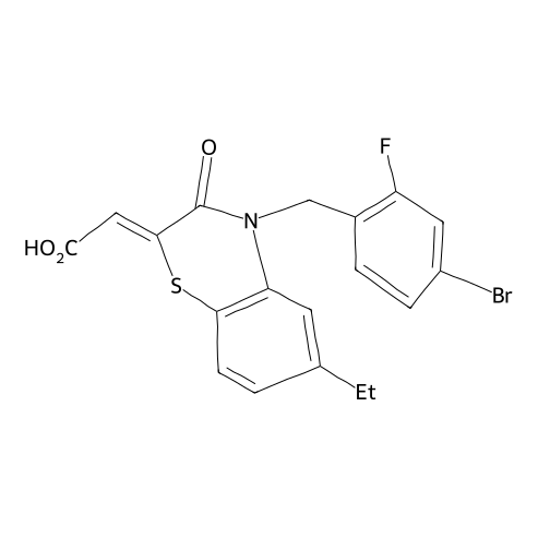 CCc1ccc2c(c1)N(Cc1ccc(Br)cc1F)C(=O)/C(=C/C(=O)O)S2